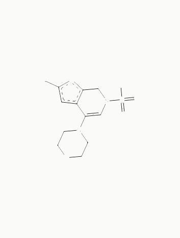 O=S(=O)(Cl)N1C=C(N2CCOCC2)c2cc(Cl)sc2C1